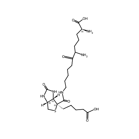 NC(CCC[C@H](N)C(=O)O)C(=O)CCCCCNC(=O)[C@@]1(CCCCC(=O)O)SC[C@@H]2NC(=O)N[C@@H]21